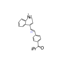 CC(C)C(=O)c1ccc(/C=C/c2cc[n+](C)c3ccccc23)cc1